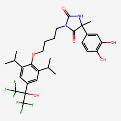 CC(C)c1cc(C(O)(C(F)(F)F)C(F)(F)F)cc(C(C)C)c1OCCCCN1C(=O)NC(C)(c2ccc(O)c(O)c2)C1=O